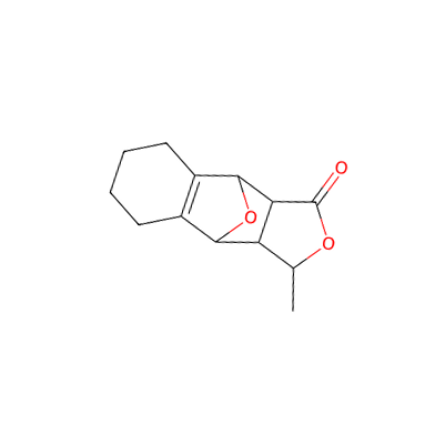 CC1OC(=O)C2C3OC(C4=C3CCCC4)C12